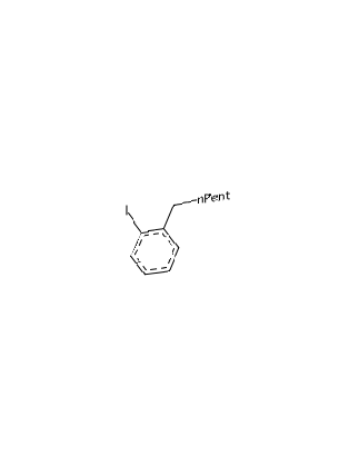 [CH2]CCCCCc1ccccc1I